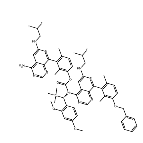 COc1ccc([C@H](N(C(=O)Oc2ccc(C)c(-c3nc(NCC(F)F)cc4c(N)ncnc34)c2C)c2ncnc3c(-c4c(C)ccc(OCc5ccccc5)c4C)nc(NCC(F)F)cc23)[66C](C)(C)C)c(OC)c1